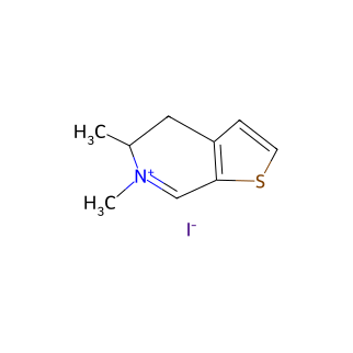 CC1Cc2ccsc2C=[N+]1C.[I-]